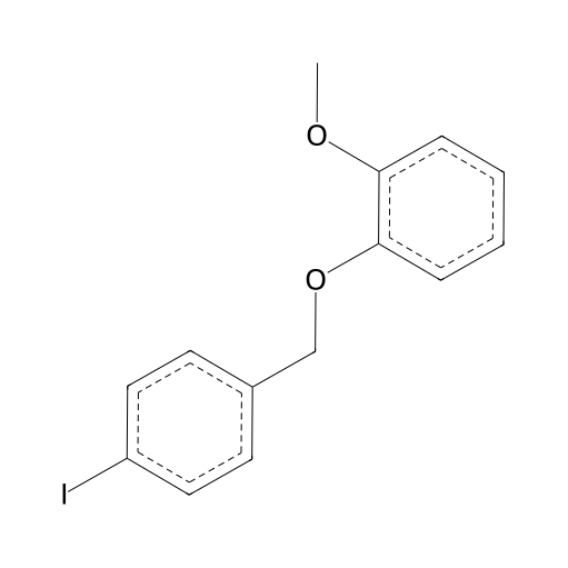 COc1ccccc1OCc1ccc(I)cc1